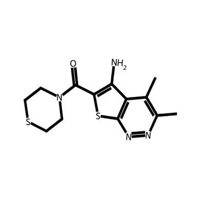 Cc1nnc2sc(C(=O)N3CCSCC3)c(N)c2c1C